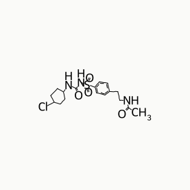 CC(=O)NCCc1ccc(S(=O)(=O)NC(=O)NC2CCC(Cl)CC2)cc1